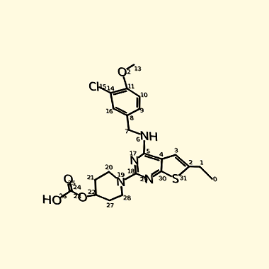 CCc1cc2c(NCc3ccc(OC)c(Cl)c3)nc(N3CCC(OC(=O)O)CC3)nc2s1